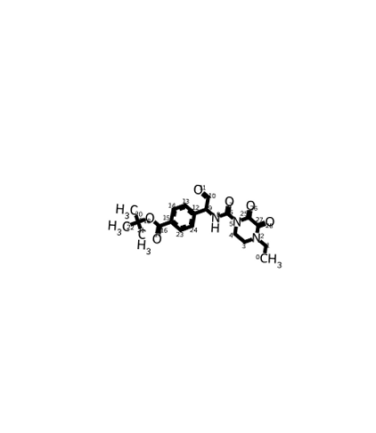 CCN1CCN(C(=O)NC(C=O)c2ccc(C(=O)OC(C)(C)C)cc2)C(=O)C1=O